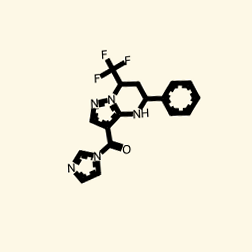 O=C(c1cnn2c1NC(c1ccccc1)CC2C(F)(F)F)n1ccnc1